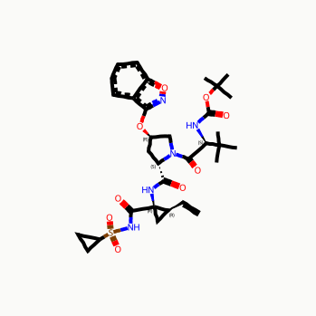 C=C[C@H]1C[C@]1(NC(=O)[C@@H]1C[C@@H](Oc2noc3ccccc23)CN1C(=O)[C@@H](NC(=O)OC(C)(C)C)C(C)(C)C)C(=O)NS(=O)(=O)C1CC1